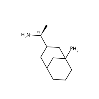 C[C@H](N)C1CC2CCCC(P)(C2)C1